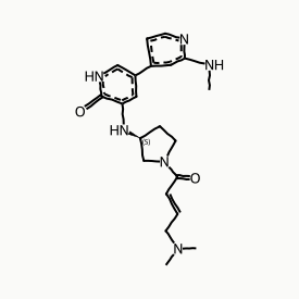 CNc1cc(-c2c[nH]c(=O)c(N[C@H]3CCN(C(=O)C=CCN(C)C)C3)c2)ccn1